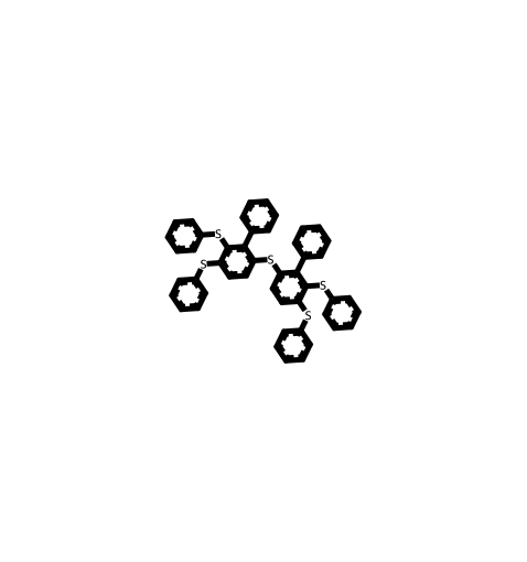 c1ccc(Sc2ccc(Sc3ccc(Sc4ccccc4)c(Sc4ccccc4)c3-c3ccccc3)c(-c3ccccc3)c2Sc2ccccc2)cc1